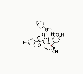 CCOc1ccccc1C1(C2CN(c3ccncc3)CCN2C(=O)O)C(=O)N(S(=O)(=O)c2ccc(F)cc2F)c2ccc(C#N)cc21